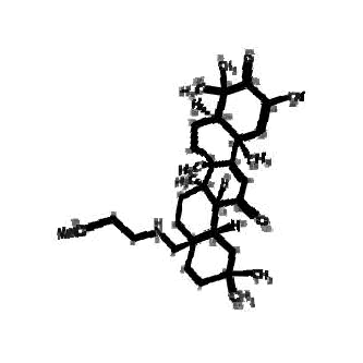 COCCNC[C@]12CCC(C)(C)C[C@H]1[C@H]1C(=O)C=C3[C@@]4(C)C=C(C#N)C(=O)C(C)(C)[C@@H]4CC[C@@]3(C)[C@]1(C)CC2